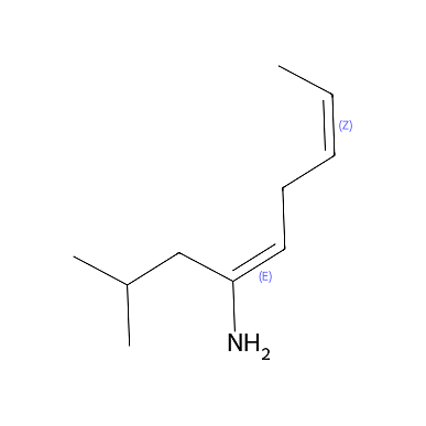 C/C=C\C/C=C(/N)CC(C)C